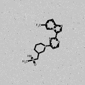 CS(=N)(=O)CC1CCCN(c2ccnc(-c3cnc4ccc(C(F)(F)F)cn34)n2)C1